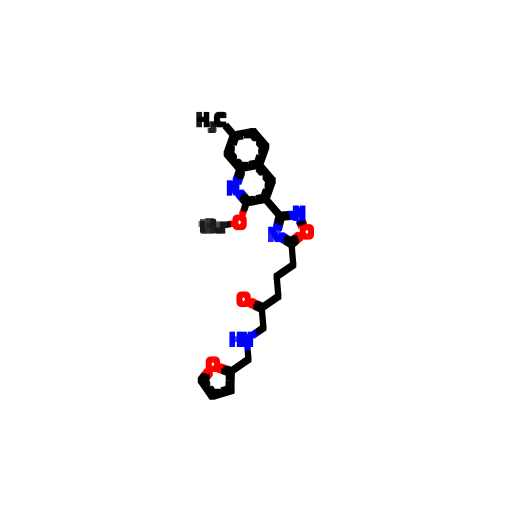 Cc1ccc2cc(-c3noc(CCCC(=O)CNCc4ccco4)n3)c(OC(C)(C)C)nc2c1